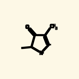 CC1[N][C]=C(C(F)(F)F)C1=O